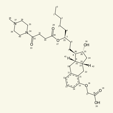 CCCCC[C@@H](CC[C@@H]1[C@H]2Cc3cccc(OCC(=O)O)c3C[C@H]2C[C@H]1O)OC(=O)CCC(=O)N1CCN(C)CC1